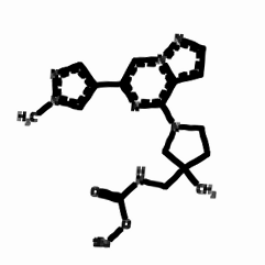 Cn1cc(-c2cn3nccc3c(N3CCC(C)(CNC(=O)OC(C)(C)C)C3)n2)cn1